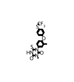 Cc1cc(-n2c(=S)[nH]c(=O)n(C)c2=O)ccc1Oc1ccc(SC(F)(F)F)cc1